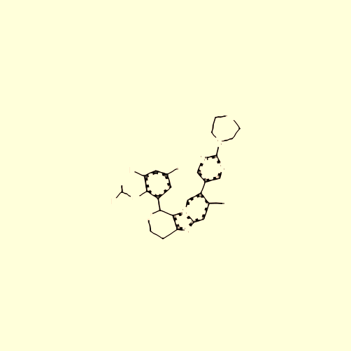 Fc1cc(F)c(OC(F)F)c(C2OCCc3nc4cc(F)c(-c5cnc(N6CCOCC6)nc5)cn4c32)c1